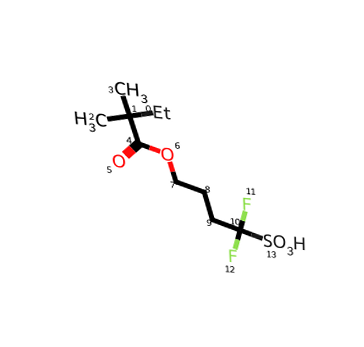 CCC(C)(C)C(=O)OCCCC(F)(F)S(=O)(=O)O